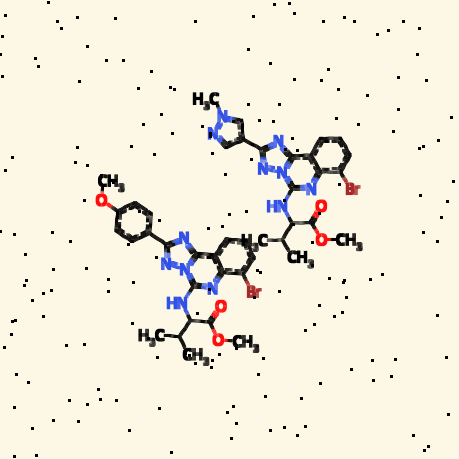 COC(=O)C(Nc1nc2c(Br)cccc2c2nc(-c3ccc(OC)cc3)nn12)C(C)C.COC(=O)C(Nc1nc2c(Br)cccc2c2nc(-c3cnn(C)c3)nn12)C(C)C